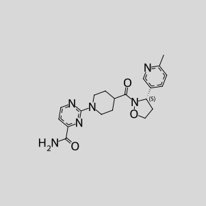 Cc1ccc([C@@H]2CCON2C(=O)C2CCN(c3nccc(C(N)=O)n3)CC2)cn1